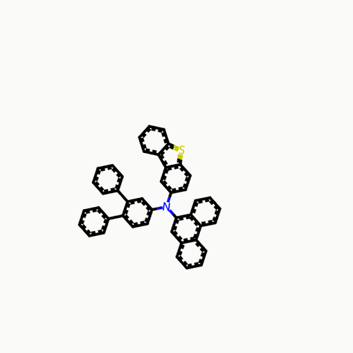 c1ccc(-c2ccc(N(c3ccc4sc5ccccc5c4c3)c3cc4ccccc4c4ccccc34)cc2-c2ccccc2)cc1